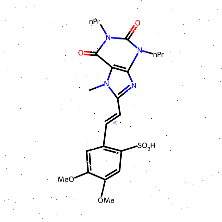 CCCn1c(=O)c2c(nc(/C=C/c3cc(OC)c(OC)cc3S(=O)(=O)O)n2C)n(CCC)c1=O